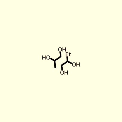 CC(O)CO.CCC(O)CO